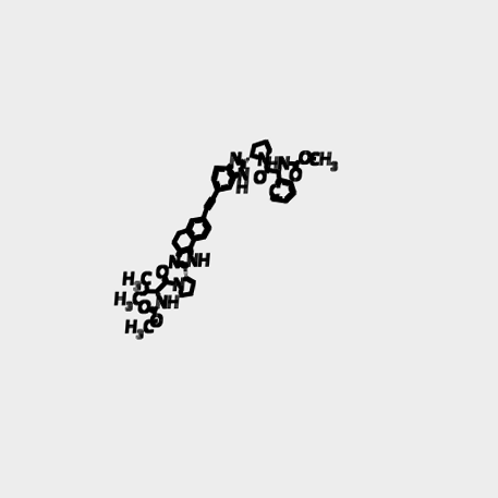 COC(=O)N[C@H](C(=O)N1CCC[C@H]1c1nc2c([nH]1)-c1ccc(C#Cc3ccc4nc([C@@H]5CCCN5C(=O)[C@H](NC(=O)OC)c5ccccc5)[nH]c4c3)cc1CC2)C(C)C